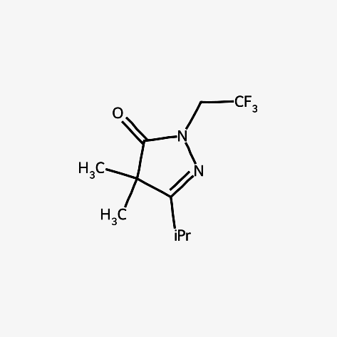 CC(C)C1=NN(CC(F)(F)F)C(=O)C1(C)C